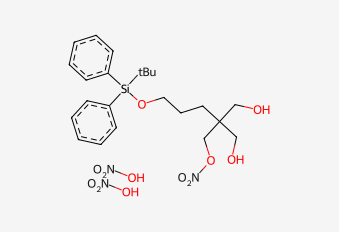 CC(C)(C)[Si](OCCCC(CO)(CO)CO[N+](=O)[O-])(c1ccccc1)c1ccccc1.O=[N+]([O-])O.O=[N+]([O-])O